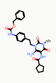 CCCn1c(=O)c(NC(=O)C2CCCC2)c(N)n(CCc2ccc(NC(=O)OCc3ccccc3)cc2)c1=O